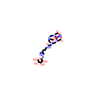 O=C(CN1CCN2CCN3CCN(CC1)CC(=O)ON(OC(=O)C2)OC(=O)C3)NCCCc1cn(C[C@H]2OC(O)[C@H](O)[C@@H](O)[C@@H]2O)nn1